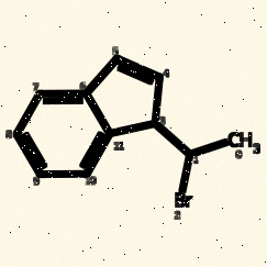 CC(Br)C1C=[C]c2ccccc21